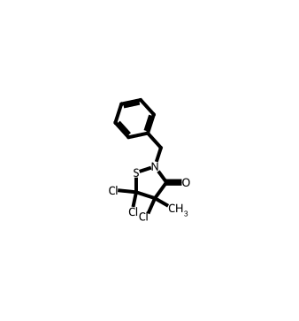 CC1(Cl)C(=O)N(Cc2ccccc2)SC1(Cl)Cl